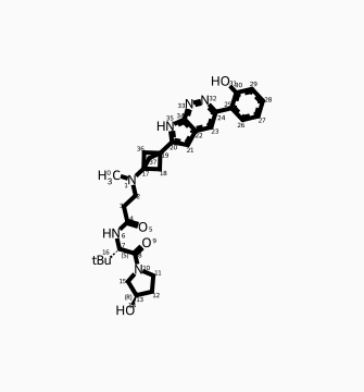 CN(CCC(=O)N[C@H](C(=O)N1CC[C@@H](O)C1)C(C)(C)C)C12CC(c3cc4cc(-c5ccccc5O)nnc4[nH]3)(C1)C2